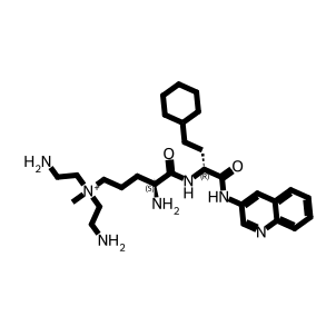 C[N+](CCN)(CCN)CCC[C@H](N)C(=O)N[C@H](CCC1CCCCC1)C(=O)Nc1cnc2ccccc2c1